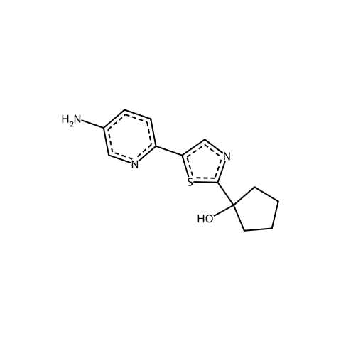 Nc1ccc(-c2cnc(C3(O)CCCC3)s2)nc1